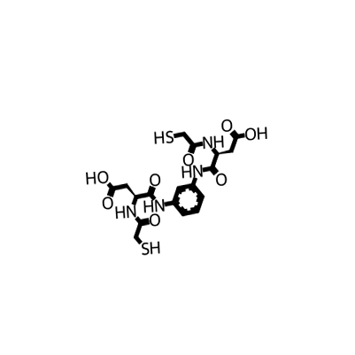 O=C(O)C[C@H](NC(=O)CS)C(=O)Nc1cccc(NC(=O)[C@H](CC(=O)O)NC(=O)CS)c1